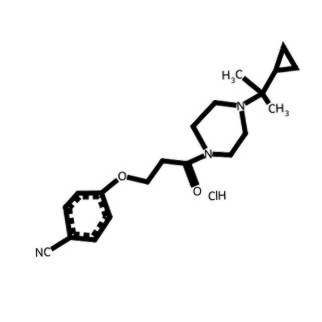 CC(C)(C1CC1)N1CCN(C(=O)CCOc2ccc(C#N)cc2)CC1.Cl